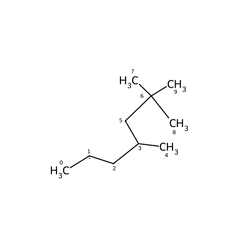 C[CH]CC(C)CC(C)(C)C